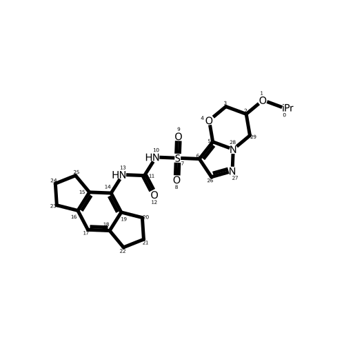 CC(C)OC1COc2c(S(=O)(=O)NC(=O)Nc3c4c(cc5c3CCC5)CCC4)cnn2C1